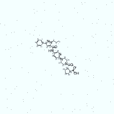 CCCn1nc(-c2ccccc2)cc1C(=O)Nc1ccc(N2CCN(C(=O)[C@H]3CCC[C@@H]3C(=O)O)CC2)nc1